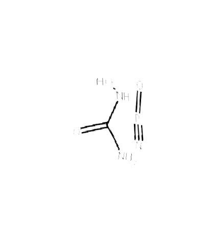 N#P=O.NC(=O)NO